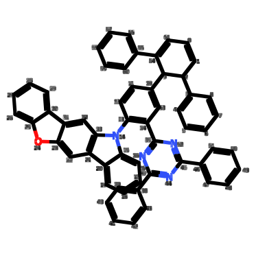 C1=CC(c2ccccc2)C(c2ccc(-n3c4ccccc4c4cc5oc6ccccc6c5cc43)c(-c3nc(-c4ccccc4)nc(-c4ccccc4)n3)c2)C(c2ccccc2)=C1